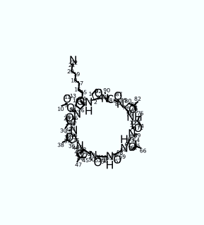 CC[C@@H]1NC(=O)[C@H]([C@H](OC(C)=O)[C@H](C)C/C=C/CCCCC#N)N(C)C(=O)[C@H](C(C)C)N(C)C(=O)[C@H](CC(C)C)N(C)C(=O)[C@H](CC(C)C)N(C)C(=O)[C@H](C)NC(=O)[C@@H](C)NC(=O)[C@@H](CC(C)C)N(C)C(=O)[C@@H](C(C)C)NC(=O)[C@H](CC(C)C)N(C)C(=O)CN(C)C1=O